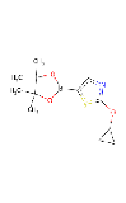 CC1(C)OB(c2cnc(OC3CC3)s2)OC1(C)C